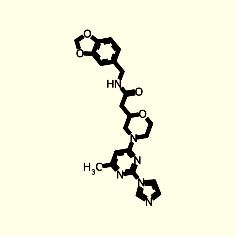 Cc1cc(N2CCOC(CC(=O)NCc3ccc4c(c3)OCO4)C2)nc(-n2ccnc2)n1